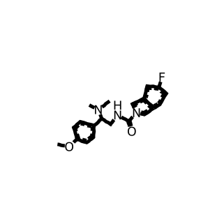 COc1ccc(C(CNC(=O)n2cc3ccc(F)cc3c2)N(C)C)cc1